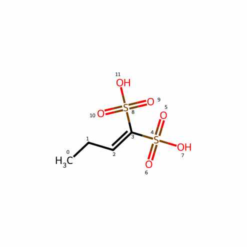 CCC=C(S(=O)(=O)O)S(=O)(=O)O